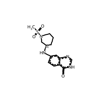 CS(=O)(=O)N1CCC[C@@H](Nc2ccc3c(=O)[nH]cnc3c2)C1